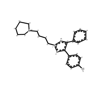 Clc1ccc(-c2nn(CCCCN3CCCCC3)nc2-c2ccccc2)cc1